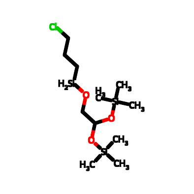 C[Si](C)(C)OC(CO[SiH2]CCCCl)O[Si](C)(C)C